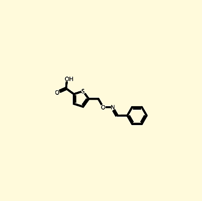 O=C(O)c1ccc(CON=Cc2ccccc2)s1